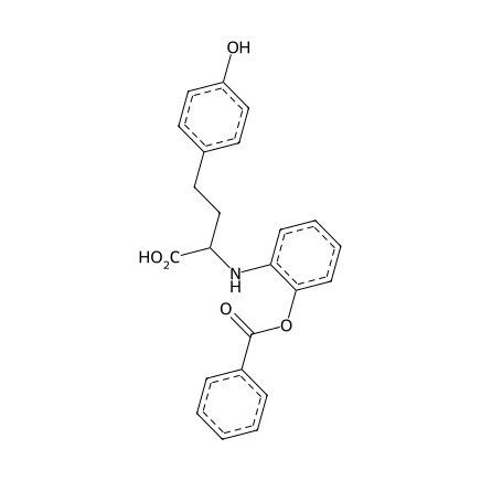 O=C(Oc1ccccc1NC(CCc1ccc(O)cc1)C(=O)O)c1ccccc1